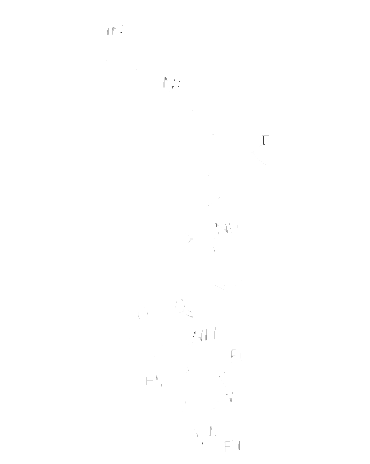 CCc1nc2c(cnn2CC)c(NC2CCOCC2)c1CNC(=O)c1cccc(C(=O)NCc2ccc(F)c(-c3cccc(CNCC4CCNCC4)c3)c2)c1